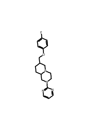 Fc1ccc(OCC2CCC3CN(c4ncccn4)CCN3C2)cc1